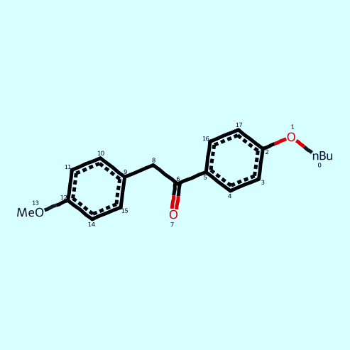 CCCCOc1ccc(C(=O)Cc2ccc(OC)cc2)cc1